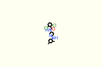 Cc1ccc(Nc2ccc(NC(=O)c3c(Cl)cccc3Cl)cn2)c(C)c1